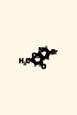 CC1CC(=O)c2cc(Br)cnc2O1